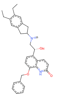 C=[N+](C[C@H](O)c1ccc(OCc2ccccc2)c2[nH]c(=O)ccc12)C1Cc2cc(CC)c(CC)cc2C1